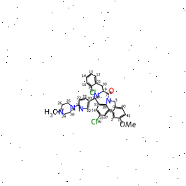 COc1ccc(CN2C(=O)C(Cc3ccccc3Cl)N=C(c3ccc(N4CCN(C)CC4)nc3)c3cc(Cl)ccc32)cc1